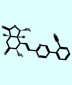 C[C@@H]1C(=O)C[C@H]2C(=O)O[C@H](C)[C@H]2[C@H]1/C=C/c1ccc(-c2ccccc2C#N)cn1